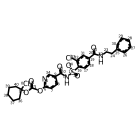 CC1(OC(=O)Oc2ccc(C(=O)NS(=O)(=O)c3ccc(C(=O)NCCc4ccccc4)cc3Cl)cn2)CCCCC1